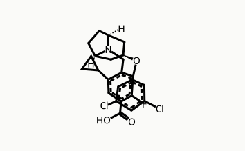 O=C(O)c1cc(C2CC2)c(CN2[C@@H]3CC[C@H]2C[C@@H](Oc2cc(Cl)cc(Cl)c2)C3)cc1F